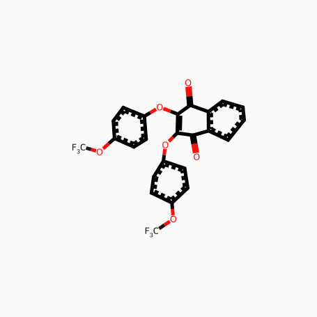 O=C1C(Oc2ccc(OC(F)(F)F)cc2)=C(Oc2ccc(OC(F)(F)F)cc2)C(=O)c2ccccc21